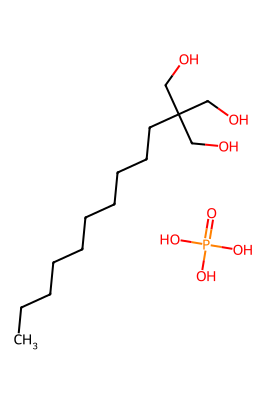 CCCCCCCCCCC(CO)(CO)CO.O=P(O)(O)O